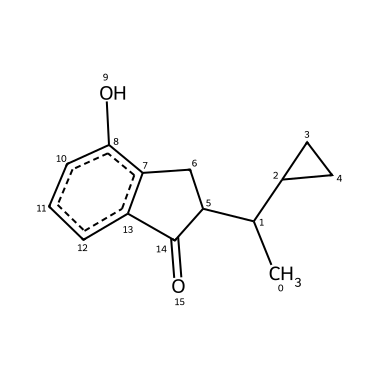 CC(C1CC1)C1Cc2c(O)cccc2C1=O